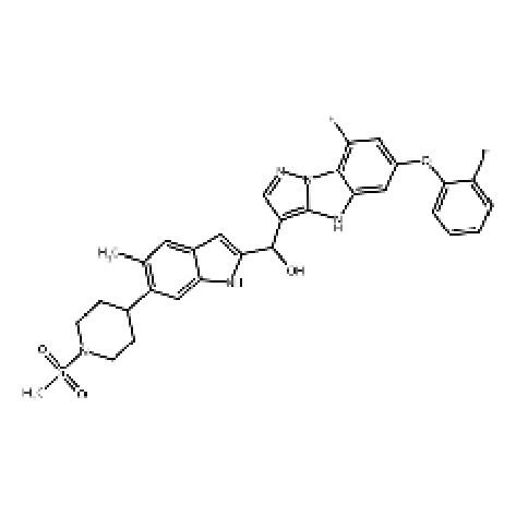 Cc1cc2cc(C(O)c3cnn4c3[nH]c3cc(Oc5ccccc5F)cc(F)c34)[nH]c2cc1C1CCN(S(C)(=O)=O)CC1